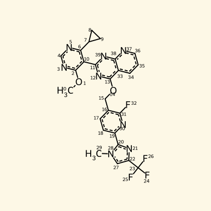 COc1ncnc(C2CC2)c1-c1nc(OCc2ccc(-c3nc(C(F)(F)F)cn3C)nc2F)c2cccnc2n1